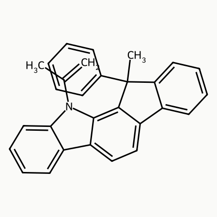 C=C(C)n1c2ccccc2c2ccc3c(c21)C(C)(c1ccccc1)c1ccccc1-3